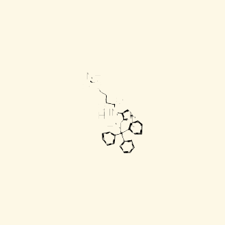 Cn1ncc(NC(=O)[C@@H](O)CCOC(N)=O)c1NC(c1ccccc1)(c1ccccc1)c1ccccc1